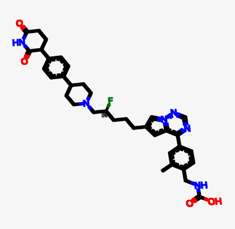 Cc1cc(-c2ncnn3cc(CCC[C@H](F)CN4CCC(c5ccc(C6CCC(=O)NC6=O)cc5)CC4)cc23)ccc1CNC(=O)O